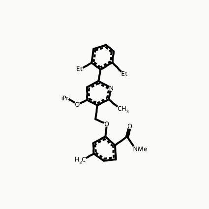 CCc1cccc(CC)c1-c1cc(OC(C)C)c(COc2cc(C)ccc2C(=O)NC)c(C)n1